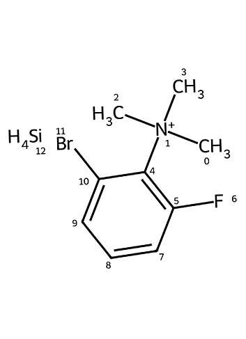 C[N+](C)(C)c1c(F)cccc1Br.[SiH4]